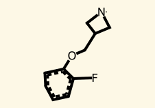 Fc1ccccc1OCC1C[N]C1